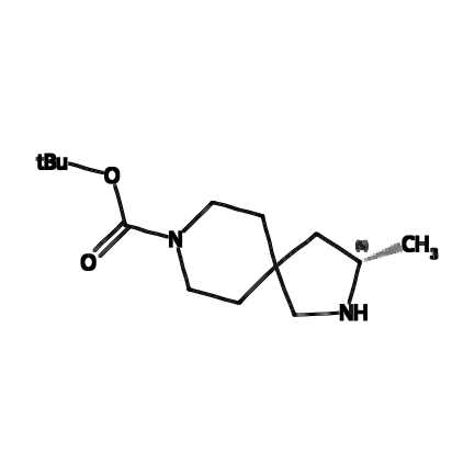 C[C@H]1CC2(CCN(C(=O)OC(C)(C)C)CC2)CN1